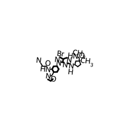 CNC(=O)[C@]1(C)CC[C@@H](Nc2ncc3c(Br)nn(-c4ccc(-c5ncco5)c(NC(=O)CC#N)c4)c3n2)C1